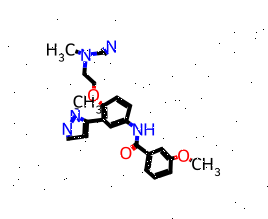 COc1cccc(C(=O)Nc2ccc(OCCN(C)C#N)c(-c3ccnn3C)c2)c1